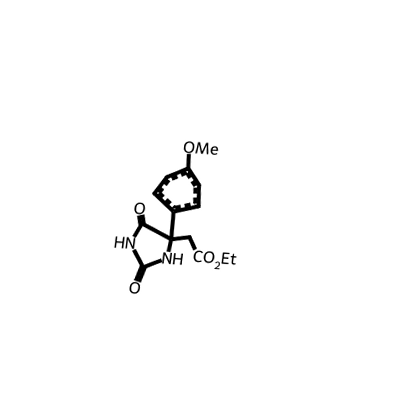 CCOC(=O)CC1(c2ccc(OC)cc2)NC(=O)NC1=O